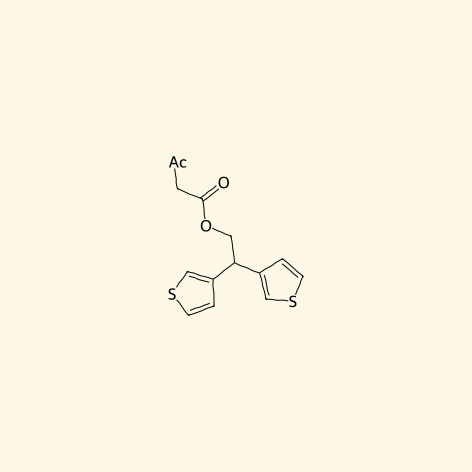 CC(=O)CC(=O)OCC(c1ccsc1)c1ccsc1